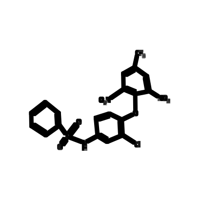 O=[N+]([O-])c1cc(C(F)(F)F)cc([N+](=O)[O-])c1Oc1ccc(NS(=O)(=O)c2ccccc2)cc1Cl